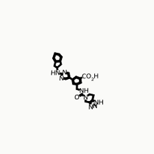 O=C(O)c1cc(CNC(=O)N2CCc3[nH]nnc3C2)cc(-c2cnc(NC3Cc4ccccc4C3)nc2)c1